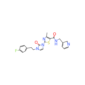 Cc1nc(-n2ccn(CCc3ccc(F)cc3)c2=O)sc1C(=O)NCc1cccnc1